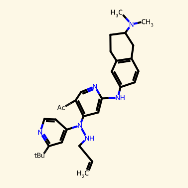 C=CCNN(c1ccnc(C(C)(C)C)c1)c1cc(Nc2ccc3c(c2)CCC(N(C)C)C3)ncc1C(C)=O